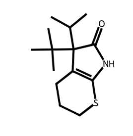 CC(C)C1(C(C)(C)C)C(=O)NC2=C1CCCS2